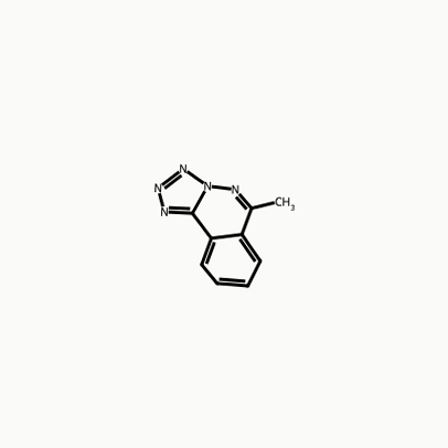 Cc1nn2nnnc2c2ccccc12